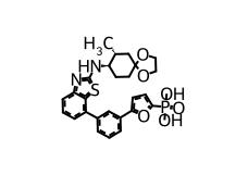 C[C@@H]1CC2(CC[C@H]1Nc1nc3cccc(-c4cccc(-c5ccc(P(=O)(O)O)o5)c4)c3s1)OCCO2